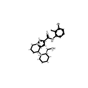 Cc1c(Br)cccc1NC(=O)c1cc2n(n1)CCC[C@@H]2N1CCCC[C@@H]1CO